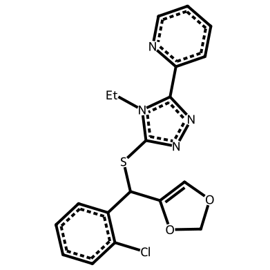 CCn1c(SC(C2=COCO2)c2ccccc2Cl)nnc1-c1ccccn1